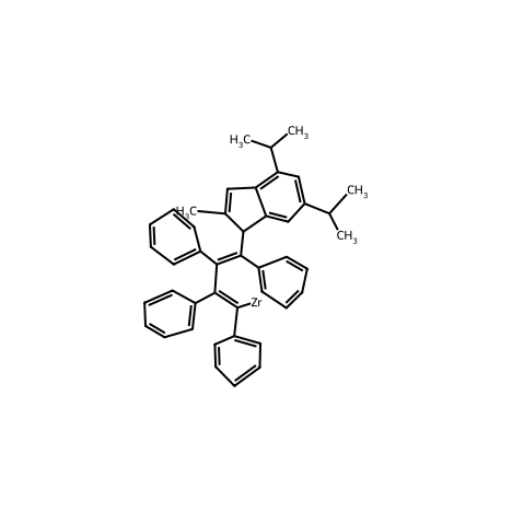 CC1=Cc2c(C(C)C)cc(C(C)C)cc2C1C(=C(C(=[C]([Zr])c1ccccc1)c1ccccc1)c1ccccc1)c1ccccc1